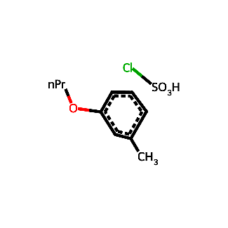 CCCOc1cccc(C)c1.O=S(=O)(O)Cl